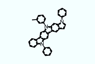 Cc1cccc(-n2c3cc4c5ccccc5n(-c5ccccc5)c4cc3c3cc4ccn(-c5ccccc5)c4cc32)c1